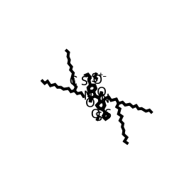 CCCCCCCCCCCCC(CCCCCCCCCC)CCCN1C(=O)/C(=C2/C(=O)N(CCCC(CCCCCCCCCC)CCCCCCCCCCCC)c3cc(-c4sccc4[S+](C)[O-])ccc32)c2ccc(-c3sccc3[S+](C)[O-])cc21